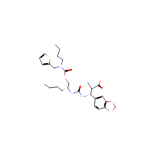 CCCC[C@@H](COC(=O)N(CCCC)Cc1cccs1)NC(=O)N[C@H](c1ccc2c(c1)OCO2)C(C)C(=O)O